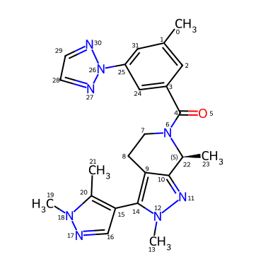 Cc1cc(C(=O)N2CCc3c(nn(C)c3-c3cnn(C)c3C)[C@@H]2C)cc(-n2nccn2)c1